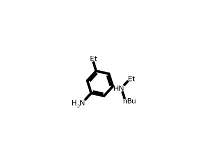 CCCCNCC.CCc1cccc(N)c1